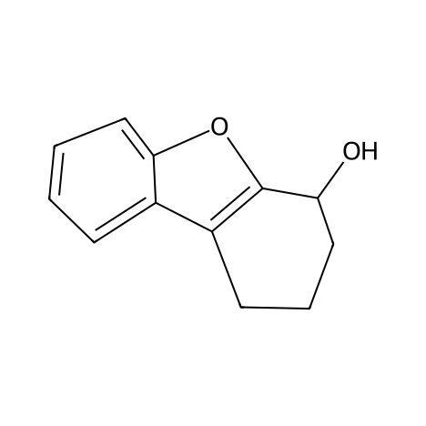 OC1CCCc2c1oc1ccccc21